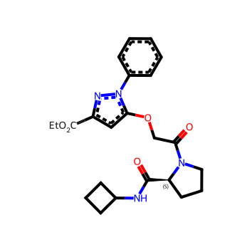 CCOC(=O)c1cc(OCC(=O)N2CCC[C@H]2C(=O)NC2CCC2)n(-c2ccccc2)n1